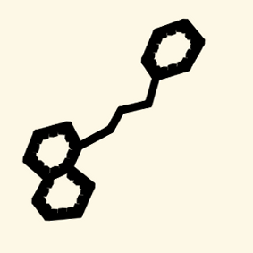 c1ccc(CCCc2cccc3ccccc23)cc1